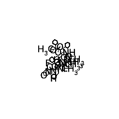 CO[C@H](C(=O)OC(CC(Cc1ccc(F)cc1)C(=O)NC(C(=O)NC(Cc1ccccc1)C(=O)NC(=O)N1CCOCC1)C(C)C)C(Cc1ccccc1)NC(=O)OC(C)(C)C)c1ccccc1